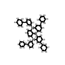 c1ccc(-c2cccc(N3c4cc(-c5ccccc5)ccc4B4c5ccc(-c6ccccc6)cc5N(c5cccc(-c6ccccc6)c5)c5cccc3c54)c2)cc1